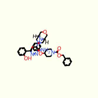 Nc1nnc(-c2ccccc2O)cc1N1C[C@H]2COC[C@@H](C1)N2c1cccc(OC2CCN(C(=O)OCc3ccccc3)CC2)c1